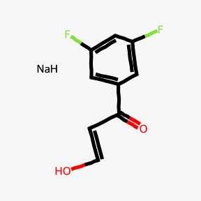 O=C(C=CO)c1cc(F)cc(F)c1.[NaH]